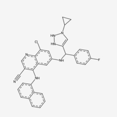 N#Cc1cnc2c(Cl)cc(NC(C3=CN(C4CC4)NN3)c3ccc(F)cc3)cc2c1Nc1cccc2ccccc12